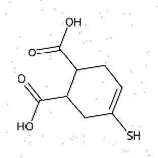 O=C(O)C1CC=C(S)CC1C(=O)O